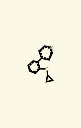 [c]1cnccc1-c1ccccc1OC1CC1